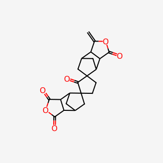 C=C1OC(=O)C2C1C1CC2C2(CCC3(CC4CC3C3C(=O)OC(=O)C43)C2=O)C1